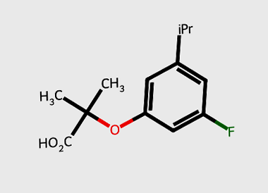 CC(C)c1cc(F)cc(OC(C)(C)C(=O)O)c1